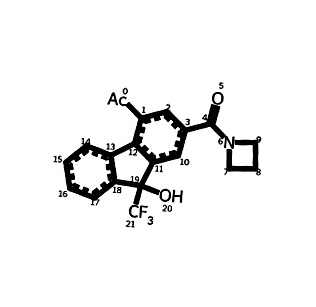 CC(=O)c1cc(C(=O)N2CCC2)cc2c1-c1ccccc1C2(O)C(F)(F)F